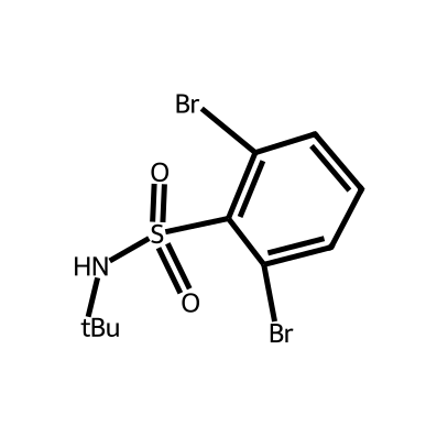 CC(C)(C)NS(=O)(=O)c1c(Br)cccc1Br